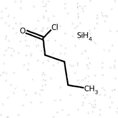 CCCCC(=O)Cl.[SiH4]